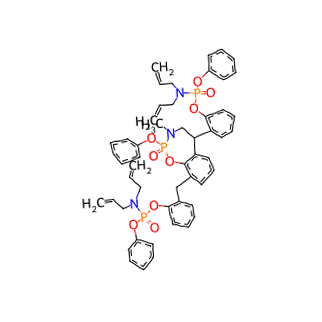 C=CCN(CC=C)P(=O)(Oc1ccccc1)Oc1ccccc1Cc1cccc2c1OP(=O)(Oc1ccccc1)N(C)CC2c1ccccc1OP(=O)(Oc1ccccc1)N(CC=C)CC=C